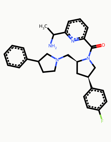 CC(N)c1cccc(C(=O)N2C[C@@H](c3ccc(F)cc3)C[C@H]2CN2CCC(c3ccccc3)C2)n1